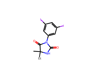 CCC1(C)NC(=O)N(c2cc(I)cc(I)c2)C1=O